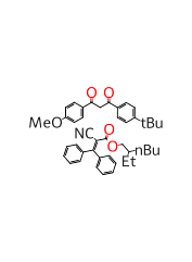 CCCCC(CC)COC(=O)C(C#N)=C(c1ccccc1)c1ccccc1.COc1ccc(C(=O)CC(=O)c2ccc(C(C)(C)C)cc2)cc1